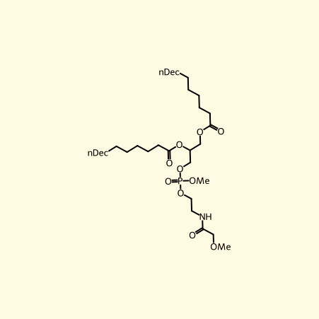 CCCCCCCCCCCCCCCC(=O)OCC(COP(=O)(OC)OCCNC(=O)COC)OC(=O)CCCCCCCCCCCCCCC